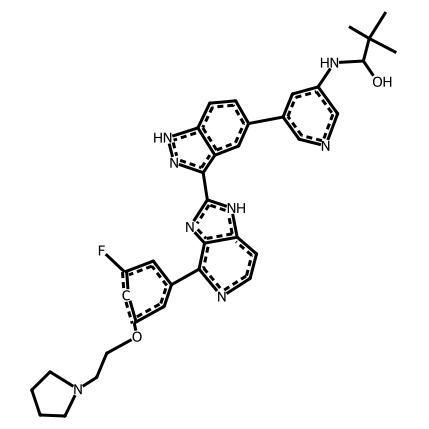 CC(C)(C)C(O)Nc1cncc(-c2ccc3[nH]nc(-c4nc5c(-c6cc(F)cc(OCCN7CCCC7)c6)nccc5[nH]4)c3c2)c1